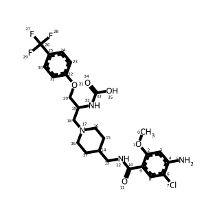 COc1cc(N)c(Cl)cc1C(=O)NCC1CCN(CC(COc2ccc(C(F)(F)F)cc2)NC(=O)O)CC1